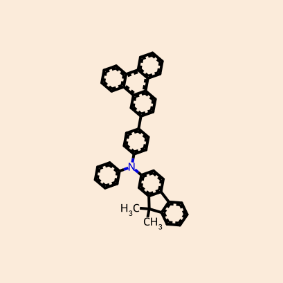 CC1(C)c2ccccc2-c2ccc(N(c3ccccc3)c3ccc(-c4ccc5c6ccccc6c6ccccc6c5c4)cc3)cc21